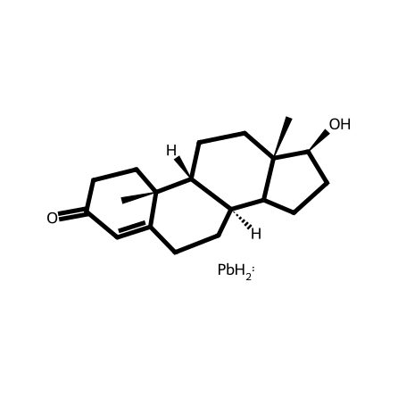 C[C@]12CCC(=O)C=C1CC[C@@H]1C3CC[C@H](O)[C@@]3(C)CC[C@H]12.[PbH2]